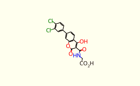 O=C(O)CNC(=O)c1c(O)c2ccc(-c3ccc(Cl)c(Cl)c3)cc2oc1=O